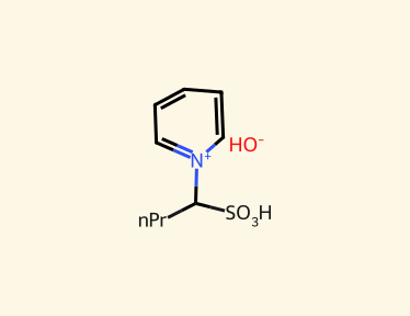 CCCC([n+]1ccccc1)S(=O)(=O)O.[OH-]